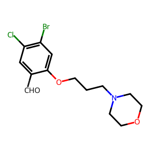 O=Cc1cc(Cl)c(Br)cc1OCCCN1CCOCC1